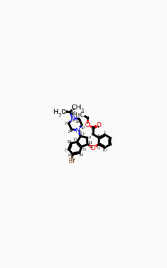 CCOC(=O)Cc1ccccc1OC1CC(N2CCN(C(C)C)CC2)c2ccc(Br)cc21